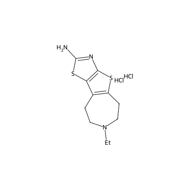 CCN1CCc2sc3nc(N)sc3c2CC1.Cl.Cl